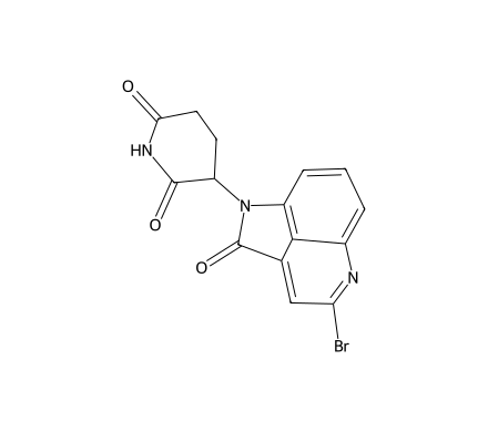 O=C1CCC(N2C(=O)c3cc(Br)nc4cccc2c34)C(=O)N1